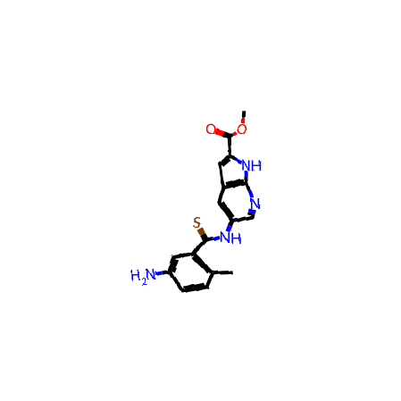 COC(=O)c1cc2cc(NC(=S)c3cc(N)ccc3C)cnc2[nH]1